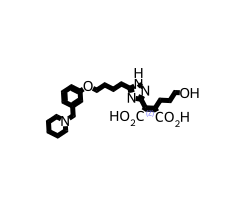 O=C(O)/C(CCCO)=C(\C(=O)O)c1n[nH]c(CCCCOc2cccc(CN3CCCCC3)c2)n1